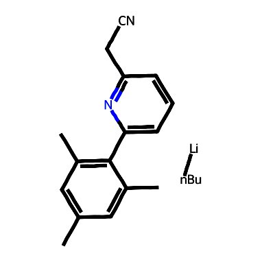 Cc1cc(C)c(-c2cccc(CC#N)n2)c(C)c1.[Li][CH2]CCC